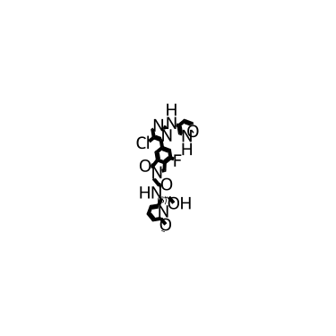 COc1cccc([C@@H](CO)NC(=O)CN2Cc3c(F)cc(-c4nc(NC5=CNOC=C5)ncc4Cl)cc3C2=O)n1